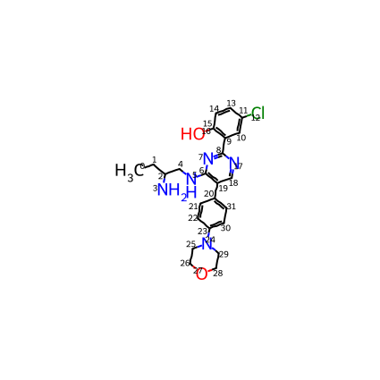 CCC(N)CNc1nc(-c2cc(Cl)ccc2O)ncc1-c1ccc(N2CCOCC2)cc1